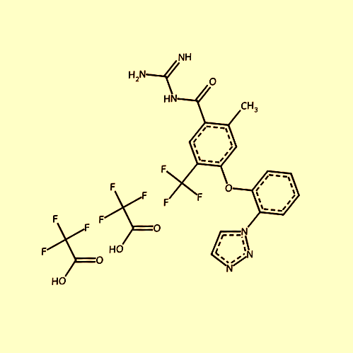 Cc1cc(Oc2ccccc2-n2ccnn2)c(C(F)(F)F)cc1C(=O)NC(=N)N.O=C(O)C(F)(F)F.O=C(O)C(F)(F)F